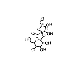 OCC1OC(O[C@]2(CCl)O[C@@H](CCl)[C@@H](O)C2O)C(O)C(O)C1Cl